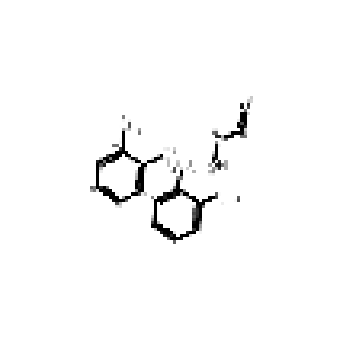 Cc1ccccc1C.Cc1ccccc1C.O=[C]OO